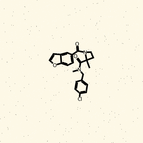 CN(Cc1ccc(Cl)cc1)C(=O)C1(C)CCN1C(=O)c1ccc2occc2c1